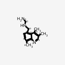 Cc1cnc2c(C)ccc(CNCN)c2c1C